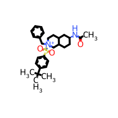 CC(=O)N[C@H]1CCC2C[N+](Cc3ccccc3)(S(=O)(=O)c3ccc(C(C)(C)C)cc3)CCC2C1